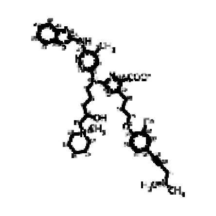 Cc1cc(N(CCCC(O)C[N+]2(C)CCCCC2)c2nc(C(=O)[O-])c(CCCOc3ccc(C#CCN(C)C)cc3F)s2)nnc1Nc1nc2ccccc2s1